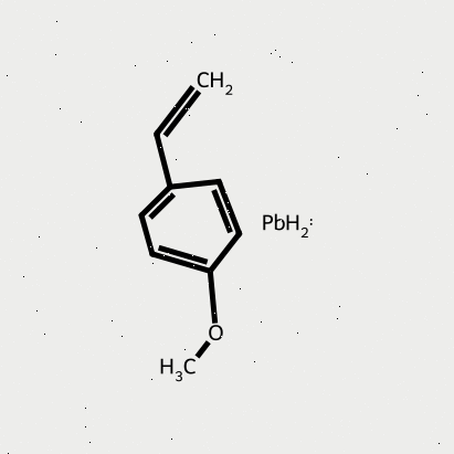 C=Cc1ccc(OC)cc1.[PbH2]